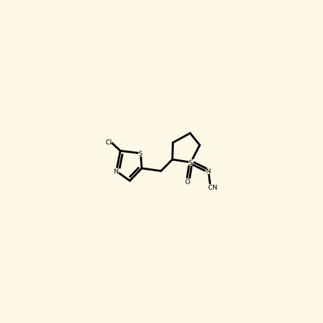 N#CN=S1(=O)CCCC1Cc1cnc(Cl)s1